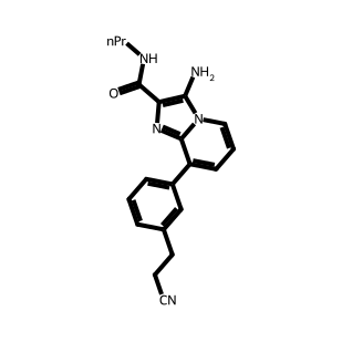 CCCNC(=O)c1nc2c(-c3cccc(CCC#N)c3)cccn2c1N